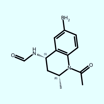 Bc1ccc2c(c1)[C@@H](NC=O)C[C@@H](C)N2C(C)=O